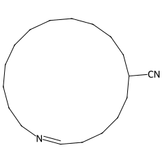 N#CC1CCCCC=NCCCCCCCCCCC1